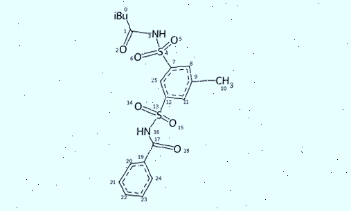 CCC(C)C(=O)NS(=O)(=O)c1cc(C)cc(S(=O)(=O)NC(=O)c2ccccc2)c1